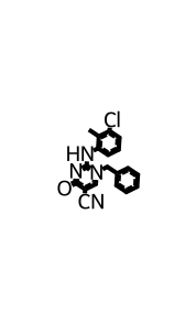 Cc1c(Cl)cccc1Nc1nc(=O)c(C#N)cn1Cc1ccccc1